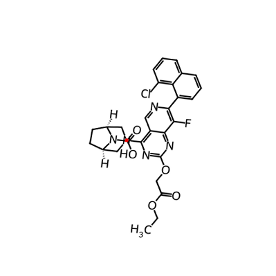 CCOC(=O)COc1nc(N2C[C@H]3CC[C@@H](C2)N3C(=O)O)c2cnc(-c3cccc4cccc(Cl)c34)c(F)c2n1